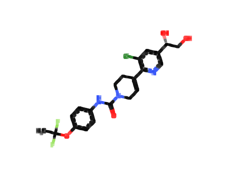 CC(F)(F)Oc1ccc(NC(=O)N2CC=C(c3ncc([C@H](O)CO)cc3Cl)CC2)cc1